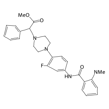 CNc1ccccc1C(=O)Nc1ccc(N2CCN(C(C(=O)OC)c3ccccc3)CC2)c(F)c1